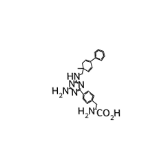 CC1(CNc2nc(N)nc(-c3ccc(CC(N)C(=O)O)cc3)n2)C=CC(c2ccccc2)=CC1